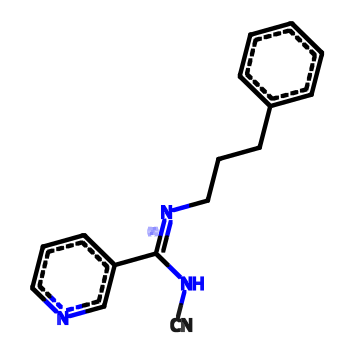 N#CN/C(=N\CCCc1ccccc1)c1cccnc1